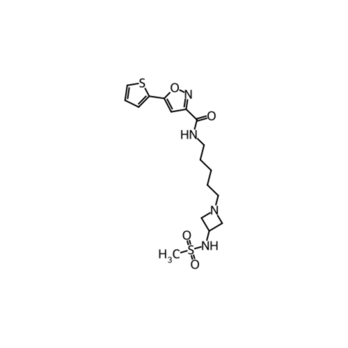 CS(=O)(=O)NC1CN(CCCCCNC(=O)c2cc(-c3cccs3)on2)C1